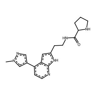 Cn1cc(-c2ccnc3[nH]c(CCNC(=O)C4CCCN4)cc23)cn1